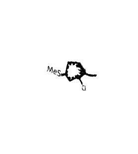 CSc1ccc(C)c(Cl)c1